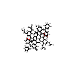 CC(C)Cc1cc(CC(C)C)c(-c2cc3c4c(cc5c(-c6c(CC(C)C)cc(CC(C)C)cc6CC(C)C)cc6c7c(cc2c4c57)B2c4ccccc4N(c4ccccc4)c4cc(Br)cc-6c42)B2c4ccccc4N(c4ccccc4)c4cc(Br)cc-3c42)c(CC(C)C)c1